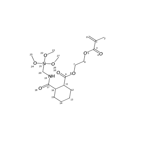 C=C(C)C(=O)OCCOC(=O)C1CCCCC1C(=O)NC[Si](OC)(OC)OC